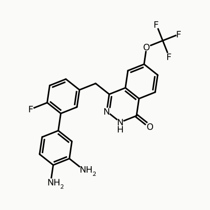 Nc1ccc(-c2cc(Cc3n[nH]c(=O)c4ccc(OC(F)(F)F)cc34)ccc2F)cc1N